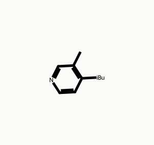 CCC(C)c1ccncc1C